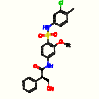 CCOc1cc(NC(=O)[C@@H](CO)c2ccccc2)ccc1S(=O)(=O)Nc1ccc(C)c(Cl)c1